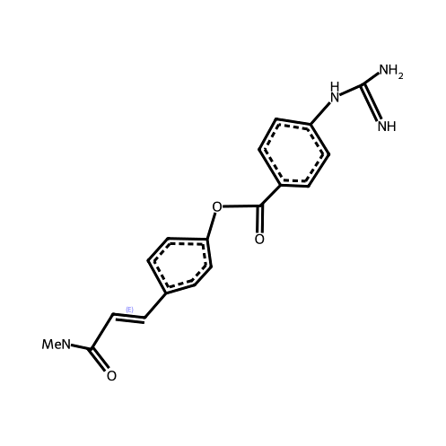 CNC(=O)/C=C/c1ccc(OC(=O)c2ccc(NC(=N)N)cc2)cc1